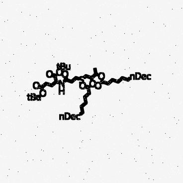 CCCCCCCCCCCCCCCC(=O)OC(C)C(CSCCC(=O)NC(CCC(=O)OC(C)(C)C)C(=O)OC(C)(C)C)OC(=O)CCCCCCCCCCCCCCC